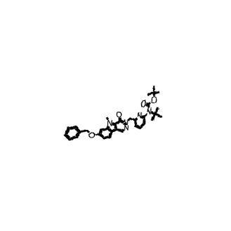 Cn1c2cc(OCc3ccccc3)ccc2c2cnn(Cc3cccc(N(C(=O)OC(C)(C)C)C(C)(C)C)n3)c(=O)c21